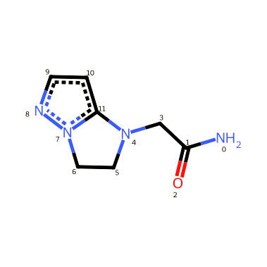 NC(=O)CN1CCn2nccc21